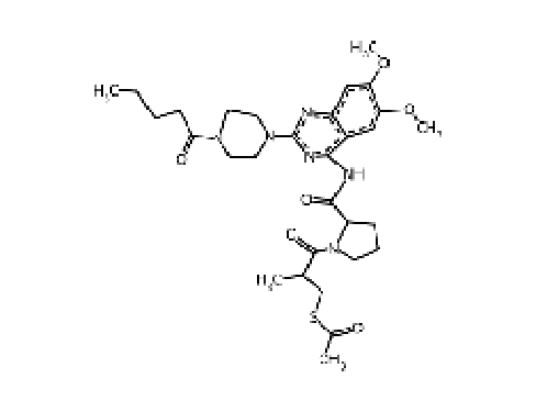 CCCCC(=O)N1CCN(c2nc(NC(=O)C3CCCN3C(=O)C(C)CSC(C)=O)c3cc(OC)c(OC)cc3n2)CC1